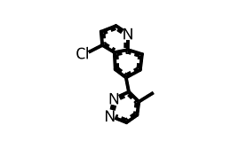 Cc1ccnnc1-c1ccc2nccc(Cl)c2c1